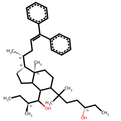 CC[C@H](O)CCC(C)(C)C1CC[C@@]2(C)C(CC[C@@H]2[C@H](C)CC=C(c2ccccc2)c2ccccc2)C1C(O)[C@@H](C)CC